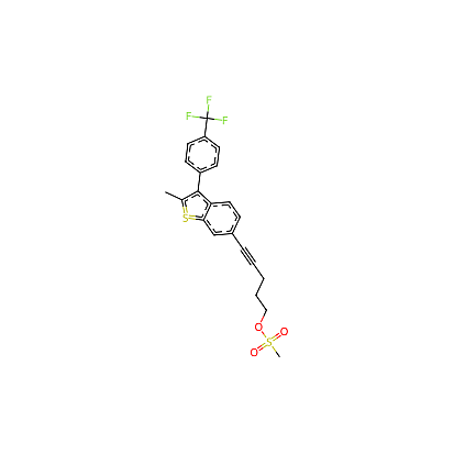 Cc1sc2cc(C#CCCCOS(C)(=O)=O)ccc2c1-c1ccc(C(F)(F)F)cc1